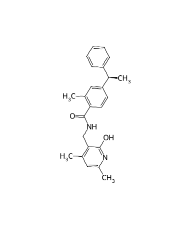 Cc1cc(C)c(CNC(=O)c2ccc([C@H](C)c3ccccc3)cc2C)c(O)n1